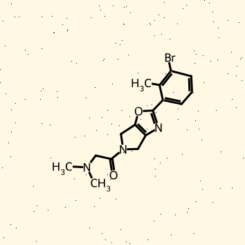 Cc1c(Br)cccc1-c1nc2c(o1)CN(C(=O)CN(C)C)C2